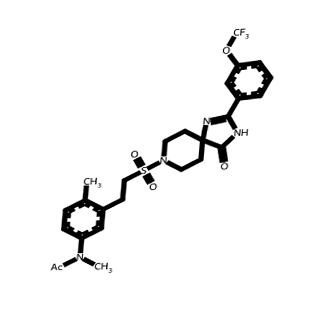 CC(=O)N(C)c1ccc(C)c(CCS(=O)(=O)N2CCC3(CC2)N=C(c2cccc(OC(F)(F)F)c2)NC3=O)c1